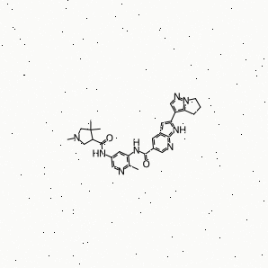 Cc1ncc(NC(=O)C2CN(C)CC2(C)C)cc1NC(=O)c1cnc2[nH]c(-c3cnn4c3CCC4)cc2c1